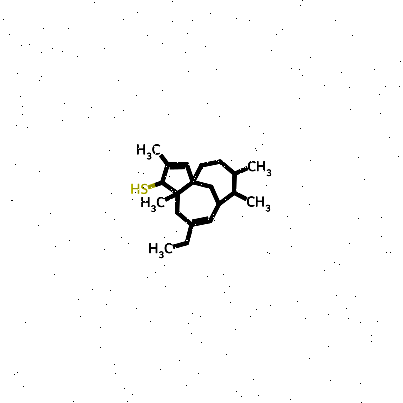 CCC1=CC2CC3(C=C(C)C(S)C3(C)C1)CCC(C)C2C